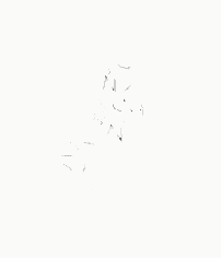 O=C(Nc1ccccn1)[C@H](CC1CCCCC1)N1CC2=C(Oc3cccc(Cl)c3C2)C1=O